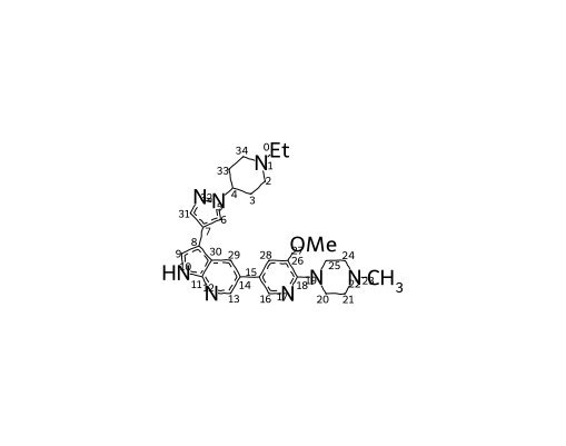 CCN1CCC(n2cc(-c3c[nH]c4ncc(-c5cnc(N6CCN(C)CC6)c(OC)c5)cc34)cn2)CC1